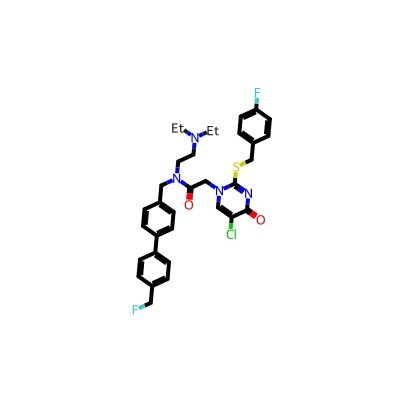 CCN(CC)CCN(Cc1ccc(-c2ccc(CF)cc2)cc1)C(=O)Cn1cc(Cl)c(=O)nc1SCc1ccc(F)cc1